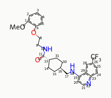 COc1ccccc1OCCNC(=O)[C@H]1CC[C@H](CNc2ccnc3ccc(C(F)(F)F)cc23)CC1